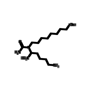 CCCCCCCCCCCCCCCCCCN(C(N)=O)C(CCCCN)C(=O)O